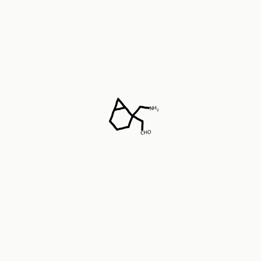 NCC1(CC=O)CCCC2CC21